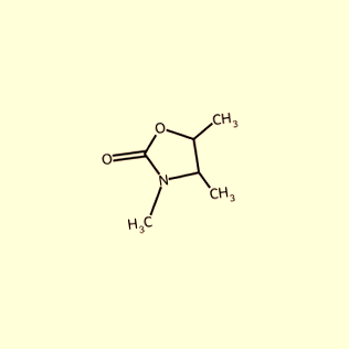 CC1OC(=O)N(C)C1C